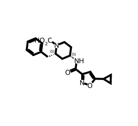 O=C(N[C@H]1CCN(C(=O)O)[C@@H](Cc2ccccc2)C1)c1cc(C2CC2)on1